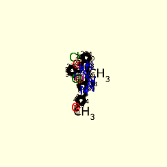 COc1ccc(Cn2ccc(=O)c3c(N[C@@H](C)c4nc5cccc(Cl)c5c(=O)n4Cc4ccccc4Cl)ncnc32)cc1